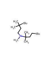 CN(CCC(C)(C)C(C)(C)C)C(C)(C)CCC(C)(C)C